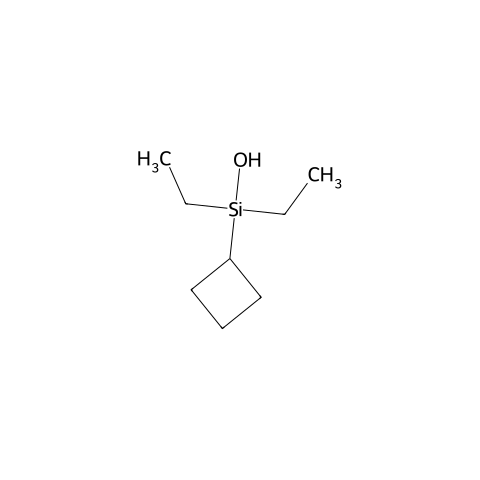 CC[Si](O)(CC)C1CCC1